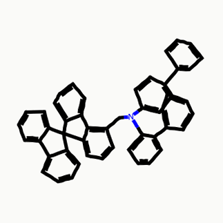 c1ccc(-c2ccc(N(Cc3cccc4c3-c3ccccc3C43c4ccccc4-c4ccccc43)c3ccccc3-c3ccccc3)cc2)cc1